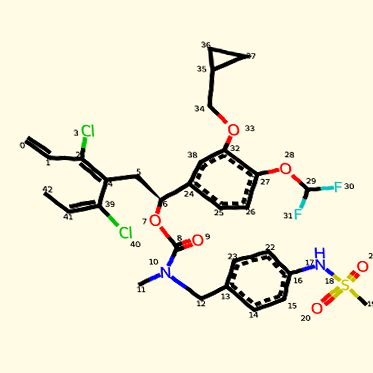 C=C/C(Cl)=C(C[C@H](OC(=O)N(C)Cc1ccc(NS(C)(=O)=O)cc1)c1ccc(OC(F)F)c(OCC2CC2)c1)\C(Cl)=C/C